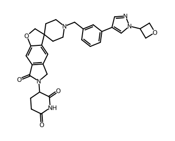 O=C1CCC(N2Cc3cc4c(cc3C2=O)OCC42CCN(Cc3cccc(-c4cnn(C5COC5)c4)c3)CC2)C(=O)N1